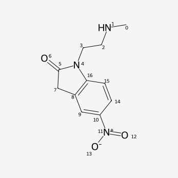 CNCCN1C(=O)Cc2cc([N+](=O)[O-])ccc21